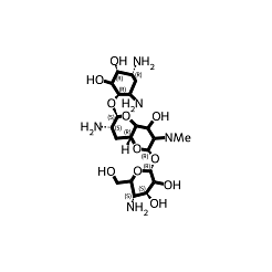 CNC1C(O)C2O[C@H](O[C@@H]3C(N)C[C@@H](N)[C@@H](O)C3O)[C@@H](N)C[C@H]2O[C@@H]1O[C@H]1OC(CO)[C@@H](N)[C@H](O)C1O